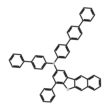 c1ccc(-c2ccc(-c3ccc(N(c4ccc(-c5ccccc5)cc4)c4cc(-c5ccccc5)c5oc6cc7ccccc7cc6c5c4)cc3)cc2)cc1